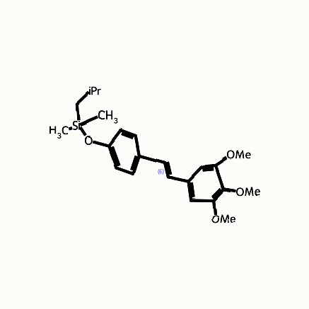 COc1cc(/C=C/c2ccc(O[Si](C)(C)CC(C)C)cc2)cc(OC)c1OC